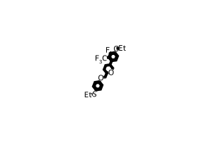 CCOc1ccc(C2CCC(COc3ccc(SCC)cc3)OC2)c(C(F)(F)F)c1F